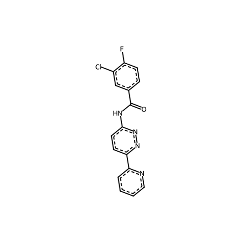 O=C(Nc1ccc(-c2ccccn2)nn1)c1ccc(F)c(Cl)c1